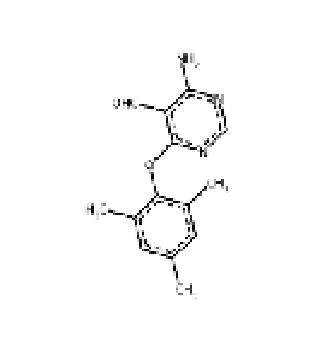 Cc1cc(C)c(Oc2ncnc(N)c2C=O)c(C)c1